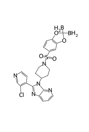 BC1(B)Oc2ccc(S(=O)(=O)N3CCC(n4c(-c5ccncc5Cl)nc5cccnc54)CC3)cc2O1